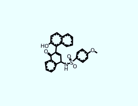 COc1ccc(S(=O)(=O)NC2C=C(c3c(O)ccc4ccccc34)C(=O)c3ccccc32)cc1